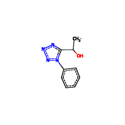 [CH2]C(O)c1nnnn1-c1ccccc1